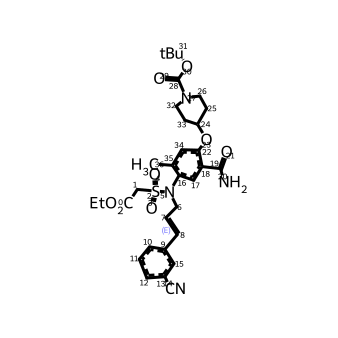 CCOC(=O)CS(=O)(=O)N(C/C=C/c1cccc(C#N)c1)c1cc(C(N)=O)c(OC2CCN(C(=O)OC(C)(C)C)CC2)cc1C